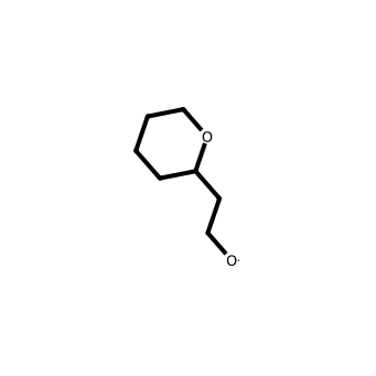 [O]CCC1CCCCO1